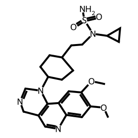 COc1cc2ncc3c(c2cc1OC)N(C1CCC(CCN(C2CC2)S(N)(=O)=O)CC1)C=NC3